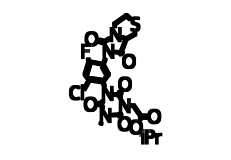 CC(C)OC(=O)Cn1c(=O)n(C)c(=O)n(-c2cc(N3C(=O)C4CSCCN4C3=O)c(F)cc2Cl)c1=O